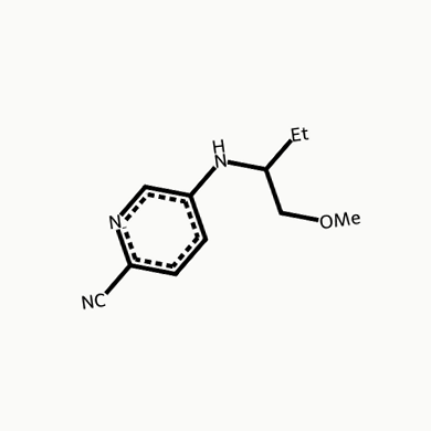 CCC(COC)Nc1ccc(C#N)nc1